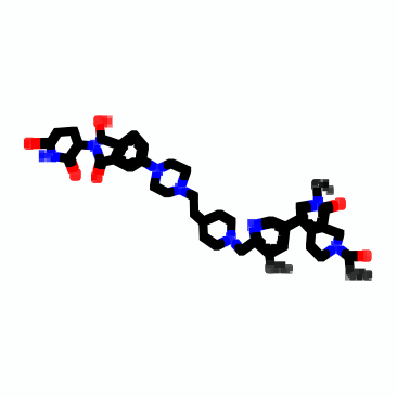 CNC(=O)N1CCc2c(-c3cnc(CN4CCC(CCN5CCN(c6ccc7c(c6)C(=O)N(C6CCC(=O)NC6=O)C7O)CC5)CC4)c(OC)c3)cn(C)c(=O)c2C1